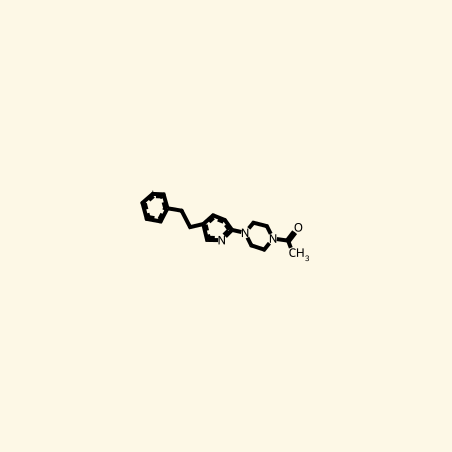 CC(=O)N1CCN(c2ccc(CCc3c[c]ccc3)cn2)CC1